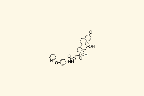 CC12C=CC(=O)C=C1CCC1C2[C@@H](O)CC2(C)C1CC[C@]2(O)C(=O)COC(=O)Nc1ccc(Oc2ccccn2)cc1